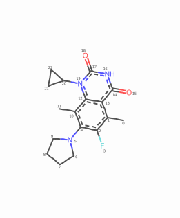 Cc1c(F)c(N2CCCC2)c(C)c2c1c(=O)[nH]c(=O)n2C1CC1